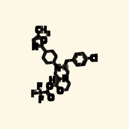 Cc1cnc(C2CCC(N3C[C@@H]4C(OC(=O)C(F)(F)F)OCCN4C[C@@H]3Cc3ccc(Cl)cc3)CC2)o1